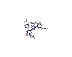 CCOc1ccc(-c2cc(=O)n(C)cc2-c2cnn(-c3cc(OC)ccc3C(=O)O)c2)cn1